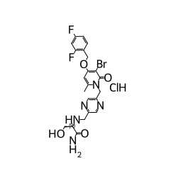 Cc1cc(OCc2ccc(F)cc2F)c(Br)c(=O)n1Cc1cnc(CN[C@H](CO)C(N)=O)cn1.Cl